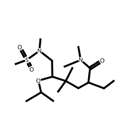 CCC(CC(C)(C)C(CN(C)S(C)(=O)=O)OC(C)C)C(=O)N(C)C